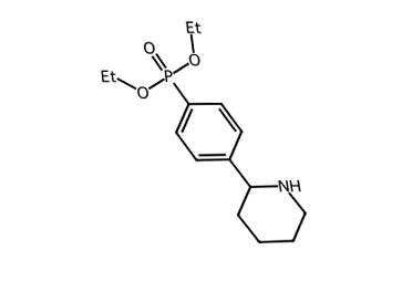 CCOP(=O)(OCC)c1ccc(C2CCCCN2)cc1